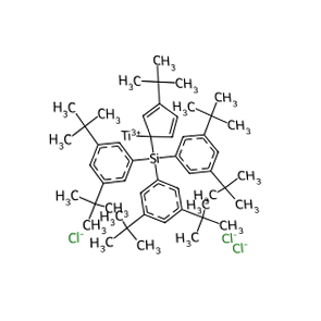 CC(C)(C)C1=C[C]([Ti+3])([Si](c2cc(C(C)(C)C)cc(C(C)(C)C)c2)(c2cc(C(C)(C)C)cc(C(C)(C)C)c2)c2cc(C(C)(C)C)cc(C(C)(C)C)c2)C=C1.[Cl-].[Cl-].[Cl-]